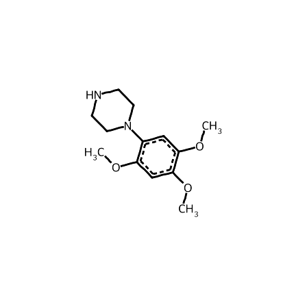 COc1cc(OC)c(N2CCNCC2)cc1OC